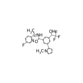 C[C@@H](NC(=O)c1cc(-c2cccn2C)cc(C(O)C(F)(F)F)c1)c1ccc(F)cn1